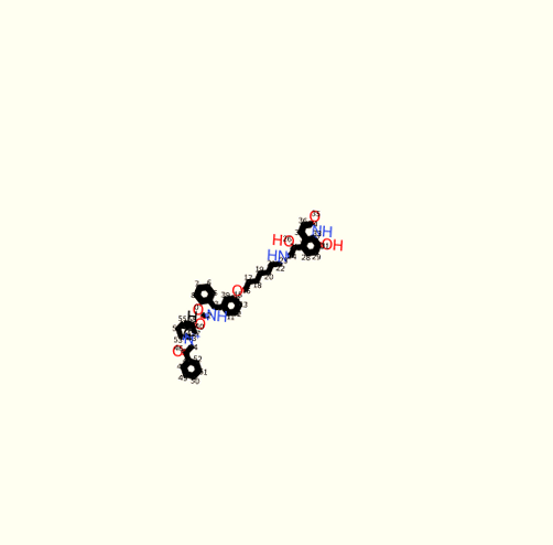 O=C(NC(c1ccccc1)c1cccc(OCCCCCCCNC[C@@H](O)c2ccc(O)c3[nH]c(=O)ccc23)c1)O[C@H]1C[N+]2(CC(=O)c3ccccc3)CCC1CC2